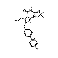 CCCC1C2C(=O)N(C)C3=NC(C)(C)CN3C2=NN1Cc1ccc(-c2ccc(F)cn2)cc1